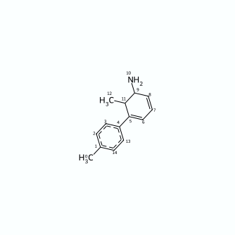 Cc1ccc(C2=CC=CC(N)C2C)cc1